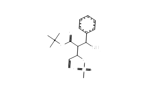 C=CC(OS(C)(=O)=O)C(C(=O)OC(C)(C)C)C(N)c1ccccc1